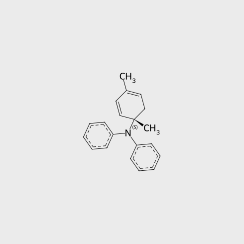 CC1=CC[C@](C)(N(c2ccccc2)c2ccccc2)C=C1